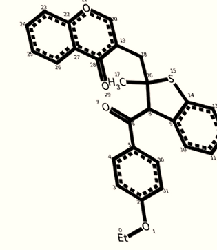 CCOc1ccc(C(=O)C2c3ccccc3SC2(C)Cc2coc3ccccc3c2=O)cc1